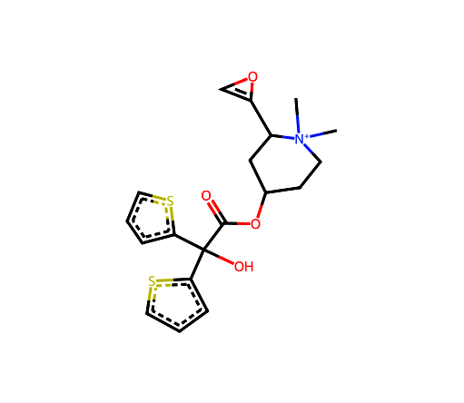 C[N+]1(C)CCC(OC(=O)C(O)(c2cccs2)c2cccs2)CC1C1=CO1